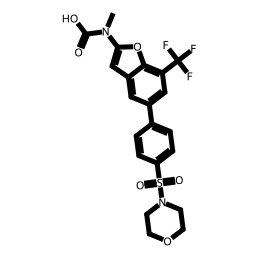 CN(C(=O)O)c1cc2cc(-c3ccc(S(=O)(=O)N4CCOCC4)cc3)cc(C(F)(F)F)c2o1